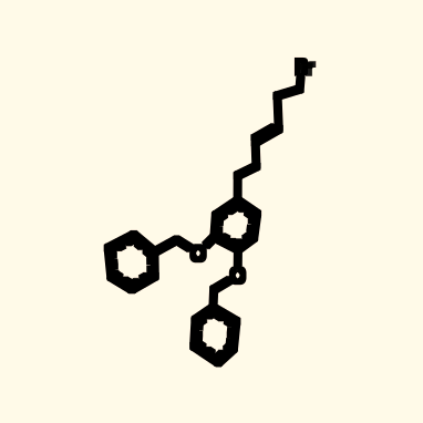 BrCCC=CCCc1ccc(OCc2ccccc2)c(OCc2ccccc2)c1